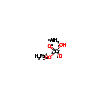 [AlH3].[O]=[Cr](=[O])([OH])[OH].[PbH2]